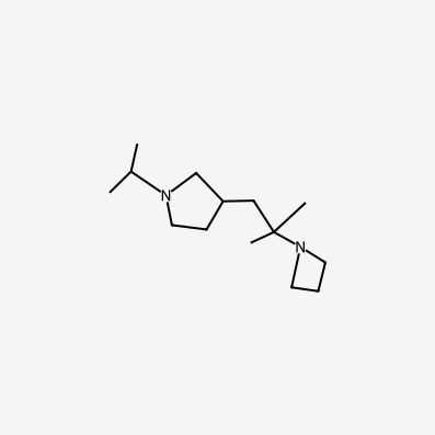 CC(C)N1CCC(CC(C)(C)N2CCC2)C1